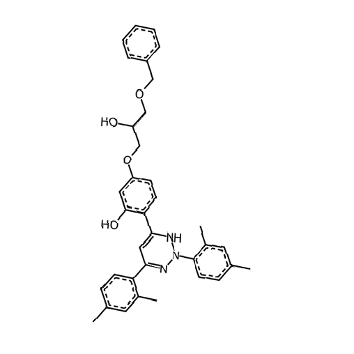 Cc1ccc(C2=NN(c3ccc(C)cc3C)NC(c3ccc(OCC(O)COCc4ccccc4)cc3O)=C2)c(C)c1